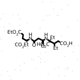 CCOC(=O)CC[C@H](NC(=O)CC(=O)N[C@](CC)(C(=O)O)C(CC)CC(=O)O)C(=O)OCC